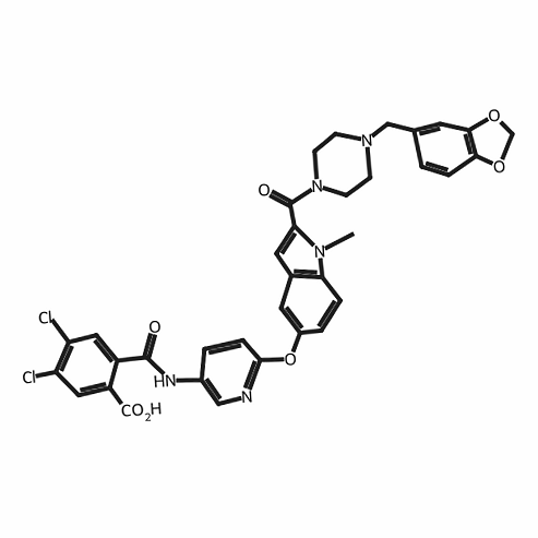 Cn1c(C(=O)N2CCN(Cc3ccc4c(c3)OCO4)CC2)cc2cc(Oc3ccc(NC(=O)c4cc(Cl)c(Cl)cc4C(=O)O)cn3)ccc21